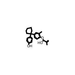 C=C(C)C(O)Oc1ccc(C2(c3ccc(O)cc3)CCCCC2)cc1C